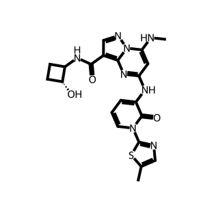 CNc1cc(Nc2cccn(-c3ncc(C)s3)c2=O)nc2c(C(=O)NC3CC[C@H]3O)cnn12